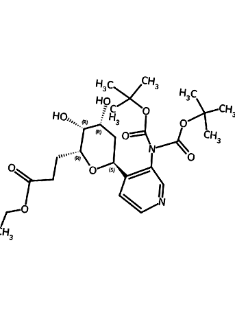 CCOC(=O)CC[C@H]1O[C@H](c2ccncc2N(C(=O)OC(C)(C)C)C(=O)OC(C)(C)C)C[C@@H](O)[C@H]1O